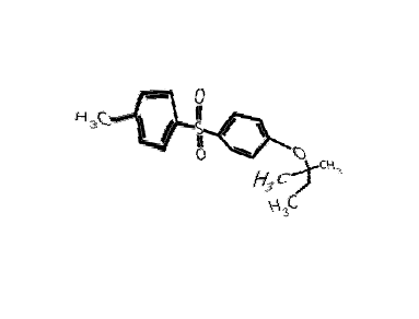 CCC(C)(C)Oc1ccc(S(=O)(=O)c2ccc(C)cc2)cc1